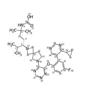 CC(C)[C@H](CCC(C)(C)NC(=O)O)N1CC2(CCN(c3ncnnc3Oc3ccc(F)cc3-c3cncnc3C3CC3)C2)C1